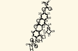 CNS(=O)(=O)Nc1cccc(Cc2c(CN3CCC3)c3ccc(OC(=O)N(C)C)cc3oc2=O)c1Cl